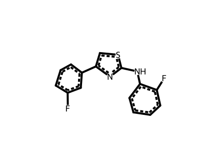 Fc1cccc(-c2csc(Nc3ccccc3F)n2)c1